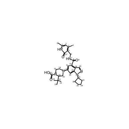 Cc1cc(C)c(CNC(=O)c2cc(N3CCN(C(=O)O)C(C(C)(C)C)C3)cc3c2cnn3C2CCCC2)c(=O)[nH]1